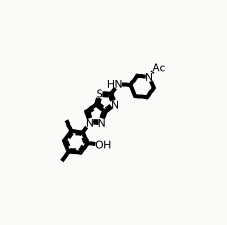 CC(=O)N1CCCC(Nc2nc3nn(-c4c(C)cc(C)cc4O)cc3s2)C1